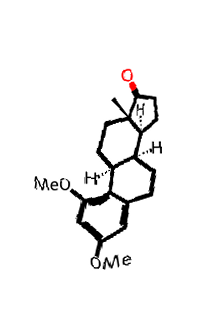 COc1cc2c(c(OC)c1)[C@H]1CC[C@]3(C)C(=O)CC[C@H]3[C@H]1CC2